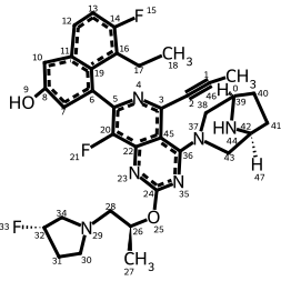 CC#Cc1nc(-c2cc(O)cc3ccc(F)c(CC)c23)c(F)c2nc(O[C@@H](C)CN3CC[C@H](F)C3)nc(N3C[C@H]4CC[C@@H](C3)N4)c12